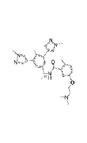 Cc1ccc(OCCN(C)C)cc1C(=O)N[C@H](C)c1cc(-c2cnn(C)c2)c(C)c(-c2cnn(C)c2)c1